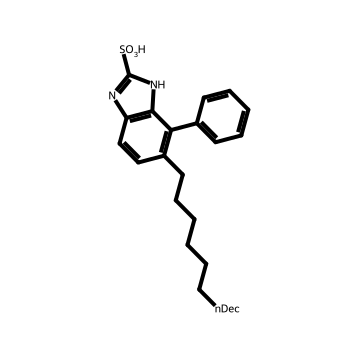 CCCCCCCCCCCCCCCCc1ccc2nc(S(=O)(=O)O)[nH]c2c1-c1ccccc1